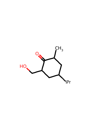 CC1CC(C(C)C)CC(CO)C1=O